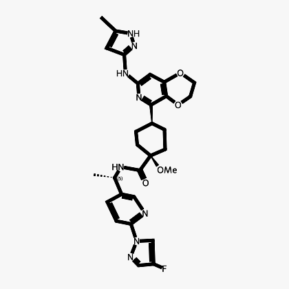 CO[C@]1(C(=O)N[C@@H](C)c2ccc(-n3cc(F)cn3)nc2)CC[C@H](c2nc(Nc3cc(C)[nH]n3)cc3c2OCCO3)CC1